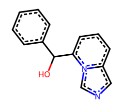 OC(c1ccccc1)c1cccc2cncn12